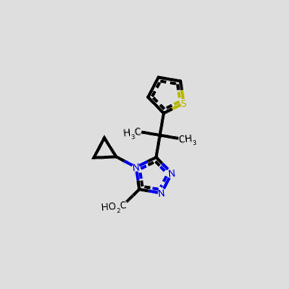 CC(C)(c1cccs1)c1nnc(C(=O)O)n1C1CC1